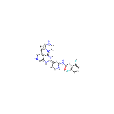 O=C(Cc1c(F)cccc1F)Nc1cc(-c2nc(N3CCNCC3)c3c(C4CC4)cncc3n2)ccn1